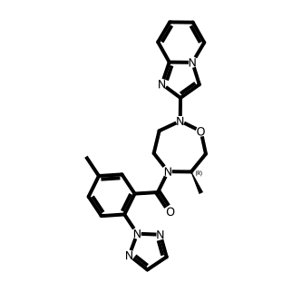 Cc1ccc(-n2nccn2)c(C(=O)N2CCN(c3cn4ccccc4n3)OC[C@H]2C)c1